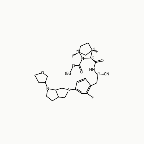 CC(C)(C)OC(=O)N1[C@@H]2CC[C@@H](C2)[C@H]1C(=O)N[C@H](C#N)Cc1ccc(N2CC3CCN(C4CCOC4)C3C2)cc1F